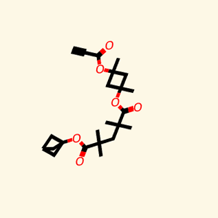 C#CC(=O)OC1(C)CC(C)(OC(=O)C(C)(C)CC(C)(C)C(=O)OC23CC(C2)C3)C1